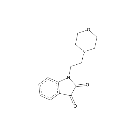 O=C1C(=O)N(CCN2CCOCC2)c2ccccc21